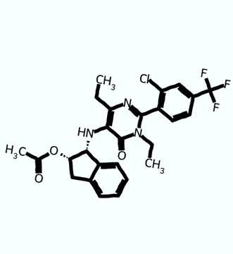 CCc1nc(-c2ccc(C(F)(F)F)cc2Cl)n(CC)c(=O)c1N[C@@H]1c2ccccc2C[C@@H]1OC(C)=O